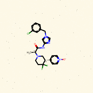 C[C@@H](C(=O)Nc1cn(Cc2cccc(Cl)c2)cn1)N1CCC(F)(F)[C@@H](c2cc[n+]([O-])cc2)C1